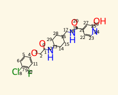 O=C(COc1ccc(Cl)c(F)c1)NC1CCC(CNC(=O)c2ccnc(O)c2)CC1